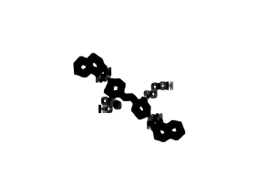 O=S(=O)(O)c1cc(-n2nc3ccc4ccccc4c3n2)ccc1C=Cc1ccc(-n2nc3ccc4ccccc4c3n2)cc1SOOO